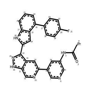 CC(C)C(=O)Nc1cncc(-c2cc3c(-c4cc5c(-c6ccc(F)cc6)cccc5[nH]4)n[nH]c3cn2)c1